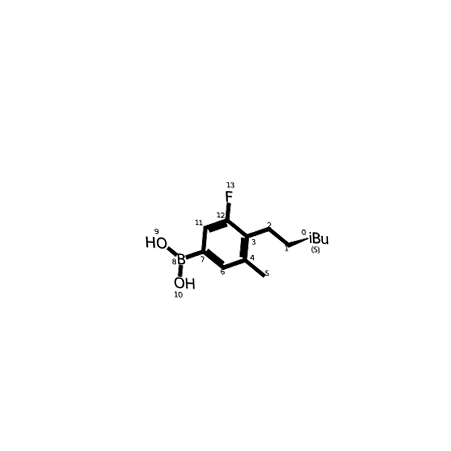 CC[C@H](C)CCc1c(C)cc(B(O)O)cc1F